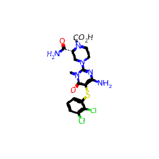 Cn1c(N2CCN(C(=O)O)[C@@H](C(N)=O)C2)nc(N)c(Sc2cccc(Cl)c2Cl)c1=O